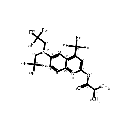 CC(C)C(=O)Oc1cc(C(F)(F)F)c2cc(N(CC(F)(F)F)CC(F)(F)F)ccc2n1